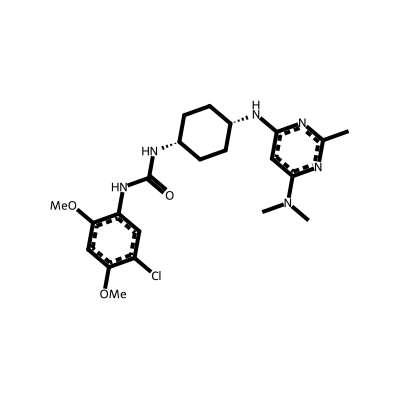 COc1cc(OC)c(NC(=O)N[C@H]2CC[C@@H](Nc3cc(N(C)C)nc(C)n3)CC2)cc1Cl